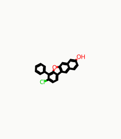 Oc1ccc2cc3c(cc2c1)oc1c(-c2ccccc2)c(Cl)ccc13